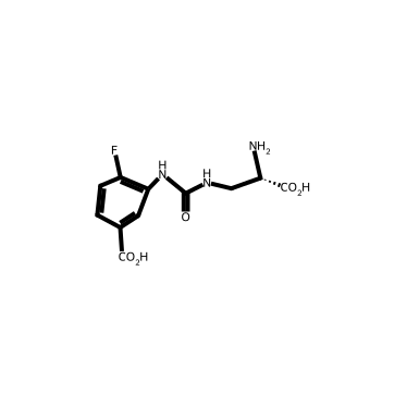 N[C@@H](CNC(=O)Nc1cc(C(=O)O)ccc1F)C(=O)O